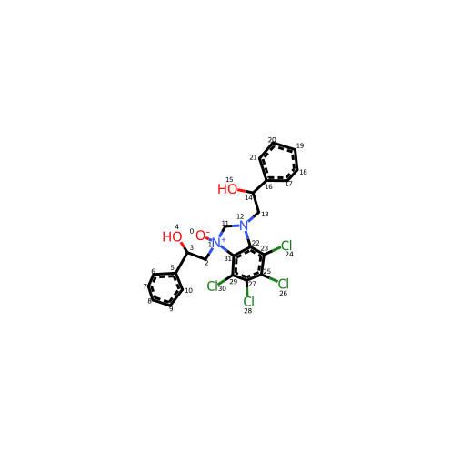 [O-][N+]1(CC(O)c2ccccc2)CN(CC(O)c2ccccc2)c2c(Cl)c(Cl)c(Cl)c(Cl)c21